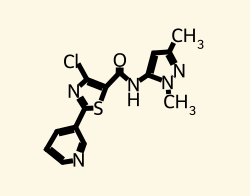 Cc1cc(NC(=O)c2sc(-c3cccnc3)nc2Cl)n(C)n1